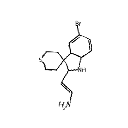 NC=CC1NC2C=CC(Br)=CC2C12CCSCC2